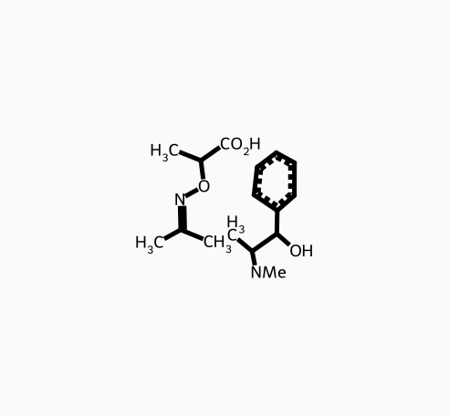 CC(C)=NOC(C)C(=O)O.CNC(C)C(O)c1ccccc1